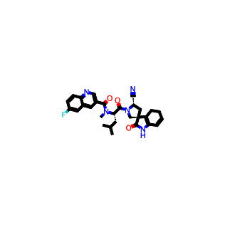 CC(C)C[C@@H](C(=O)N1C[C@]2(C[C@H]1C#N)C(=O)NC1=C2CCC=C1)N(C)C(=O)c1cnc2ccc(F)cc2c1